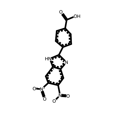 O=C(O)c1ccc(-c2nc3cc([N+](=O)[O-])c([N+](=O)[O-])cc3[nH]2)cc1